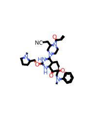 C=CC(=O)N1CCN(C2NC(OCC3CCCN3C)NC3C(=O)[C@@]4(CCC32)CN(C)c2ccccc2O4)CC1CC#N